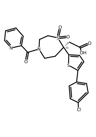 O=C(O)C[C@]1(c2ccc(-c3ccc(Cl)cc3)s2)CCN(C(=O)c2ccccn2)CCS1(=O)=O